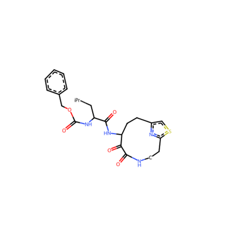 CC(C)CC(NC(=O)OCc1ccccc1)C(=O)NC1CCc2csc(n2)CCNC(=O)C1=O